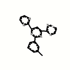 Cc1cccc(-c2nc(-c3ncccn3)cc(-c3ncccn3)n2)c1